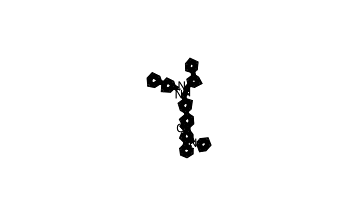 c1ccc(-c2ccc(-c3nc(-c4ccc(-c5ccc6c(c5)oc5cc7c8ccccc8n(-c8ccccc8)c7cc56)cc4)nc(-c4cccc(-c5ccccc5)c4)n3)cc2)cc1